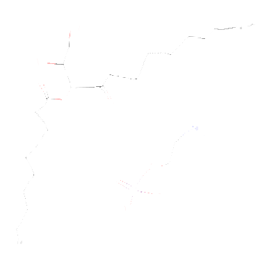 CCCCCCCCCCCCCCCCCC(=O)OC(C(=O)CCCCCCCCCCCCCCCCC)C(O)CO.NCCOP(=O)(O)O